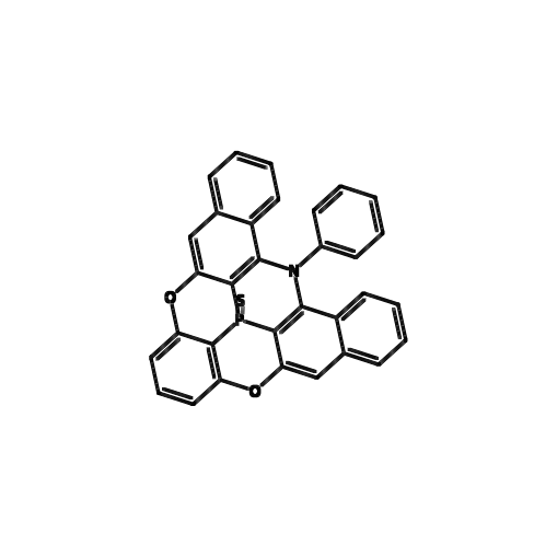 S=P12c3c4cccc3Oc3cc5ccccc5c(c31)N(c1ccccc1)c1c2c(cc2ccccc12)O4